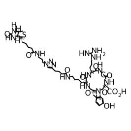 N=C(N)NCCC[C@@H]1NC(=O)[C@H](CCCCNC(=O)CCCc2cn(CCCNC(=O)CCCC[C@H]3SC[C@H]4NC(=O)N[C@H]43)nn2)NC(=O)[C@@H](Cc2ccc(O)cc2)NC(=O)[C@H](CC(=O)O)NC(=O)CNC1=O